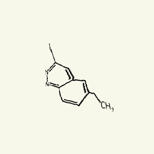 Cc1ccc2nnc(I)cc2c1